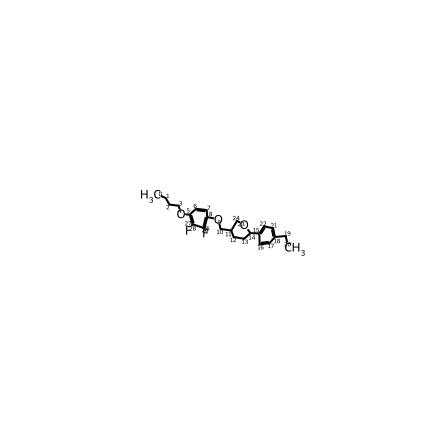 CCCCOc1ccc(OCC2CCC(c3ccc(CC)cc3)OC2)c(F)c1F